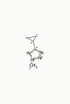 Cn1nnc(C2CC2)n1